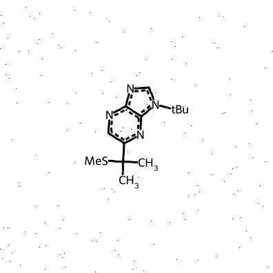 CSC(C)(C)c1cnc2ncn(C(C)(C)C)c2n1